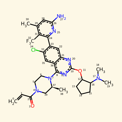 C=CC(=O)N1CCN(c2nc(OC3CCCC3N(C)C)nc3cc(-c4nc(N)cc(C)c4C(F)(F)F)c(Cl)cc23)[C@@H](C)C1